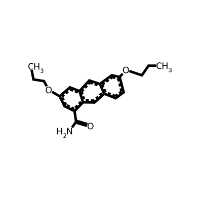 CCCOc1ccc2cc3c(C(N)=O)cc(OCCC)cc3cc2c1